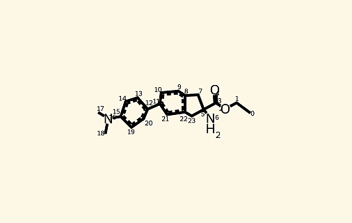 CCOC(=O)C1(N)Cc2ccc(-c3ccc(N(C)C)cc3)cc2C1